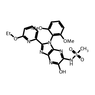 CCOc1cccc(-c2nc3nc(O)c(NS(C)(=O)=O)nc3n2-c2c(OC)cccc2OC)n1